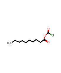 CCCCCCCCCC(=O)OC(=O)Cl